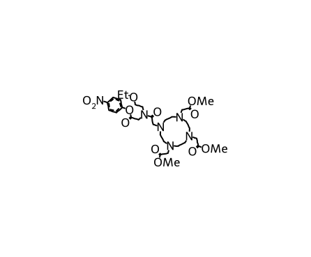 CCOCCN(CC(=O)Oc1ccc([N+](=O)[O-])cc1)C(=O)CN1CCN(CC(=O)OC)CCN(CC(=O)OC)CCN(CC(=O)OC)CC1